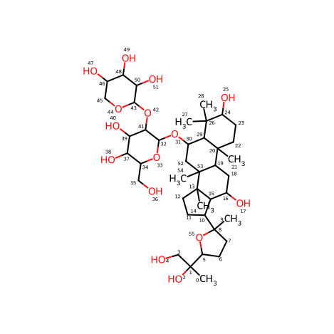 CC(O)(CO)C1CCC(C)(C2CCC3(C)C2C(O)CC2C4(C)CCC(O)C(C)(C)C4C(OC4OC(CO)C(O)C(O)C4OC4OCC(O)C(O)C4O)CC23C)O1